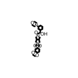 O=C(C(O)c1cccc(N2CCOCC2)c1)N1CC2=C(C1)CN(S(=O)(=O)c1ccc3c(c1)OCCO3)C2